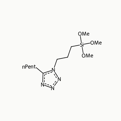 CCCCCc1nnnn1CCC[Si](OC)(OC)OC